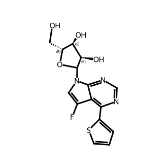 OC[C@H]1OC(n2cc(F)c3c(-c4cccs4)ncnc32)[C@H](O)[C@@H]1O